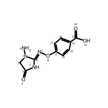 NN1CC(=O)NC1=NOc1ccc(C(=O)O)cc1